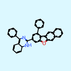 C1=CC2=C(c3ccccc3)N=C(c3cc(-c4ccccc4)c4c(c3)oc3cc5ccccc5cc34)NC2C=C1